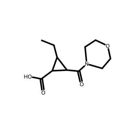 CCC1C(C(=O)O)C1C(=O)N1CCOCC1